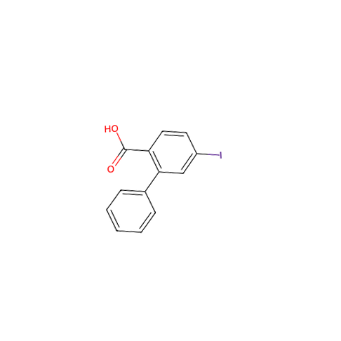 O=C(O)c1ccc(I)cc1-c1ccccc1